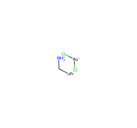 CCCC[NH3+].[Cl][Au-][Cl]